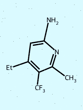 CCc1cc(N)nc(C)c1C(F)(F)F